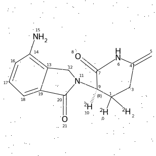 [2H]C1([2H])CC(=C)NC(=O)[C@]1([2H])N1Cc2c(N)cccc2C1=O